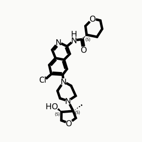 C[C@]1(N2CCN(c3cc4cc(NC(=O)[C@H]5CCCOC5)ncc4cc3Cl)CC2)COC[C@H]1O